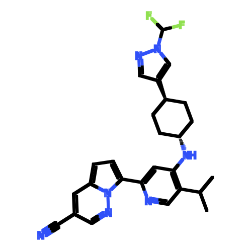 CC(C)c1cnc(-c2ccc3cc(C#N)cnn23)cc1N[C@H]1CC[C@H](c2cnn(C(F)F)c2)CC1